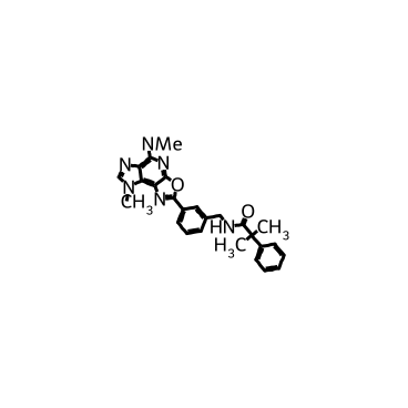 CNc1nc2oc(-c3cccc(CNC(=O)C(C)(C)c4ccccc4)c3)nc2c2c1ncn2C